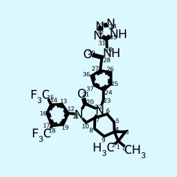 CC1(C)CC12CCC1(CC2)CN(c2cc(C(F)(F)F)cc(C(F)(F)F)c2)C(=O)N1Cc1ccc(C(=O)Nc2nnn[nH]2)cc1